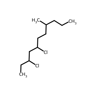 CCCC(C)CCC(Cl)CC(Cl)CC